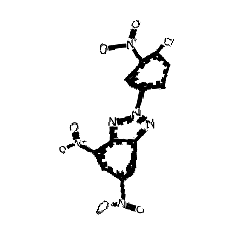 O=[N+]([O-])c1cc([N+](=O)[O-])c2nn(-c3ccc(Cl)c([N+](=O)[O-])c3)nc2c1